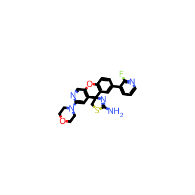 NC1=NC2(CS1)c1cc(-c3cccnc3F)ccc1Oc1cnc(N3CCOCC3)cc12